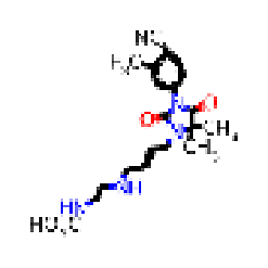 CC1(C)C(=O)N(c2ccc(C#N)c(C(F)(F)F)c2)C(=O)N1C/C=C/CNCCNC(=O)O